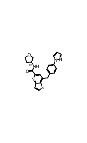 O=C(N[C@H]1CCOC1)c1cc(Cc2ccc(-n3cccn3)cc2)c2sccc2n1